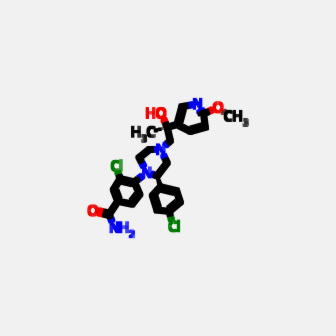 COc1ccc([C@](C)(O)CN2CCN(c3ccc(C(N)=O)cc3Cl)[C@H](c3ccc(Cl)cc3)C2)cn1